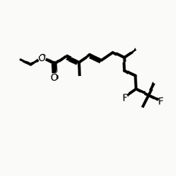 CCOC(=O)/C=C(C)/C=C/CC(C)CCC(F)C(C)(C)F